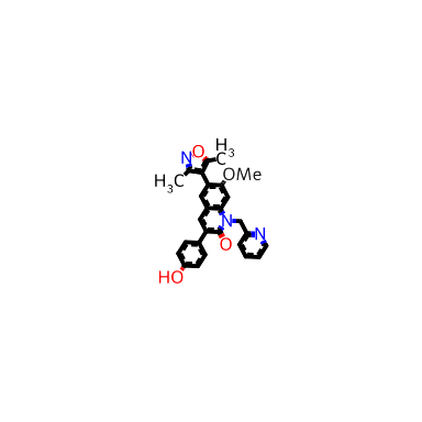 COc1cc2c(cc1-c1c(C)noc1C)cc(-c1ccc(O)cc1)c(=O)n2Cc1ccccn1